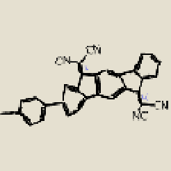 [C-]#[N+]/C(C#N)=C1/c2ccccc2-c2cc3c(cc21)-c1ccc(-c2ccc(C)cc2)cc1/C3=C(/C#N)[N+]#[C-]